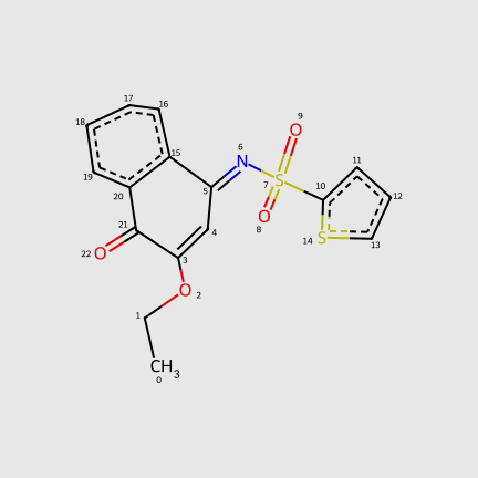 CCOC1=C/C(=N\S(=O)(=O)c2cccs2)c2ccccc2C1=O